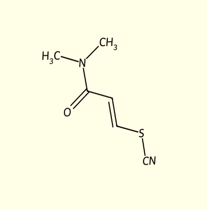 CN(C)C(=O)/C=C/SC#N